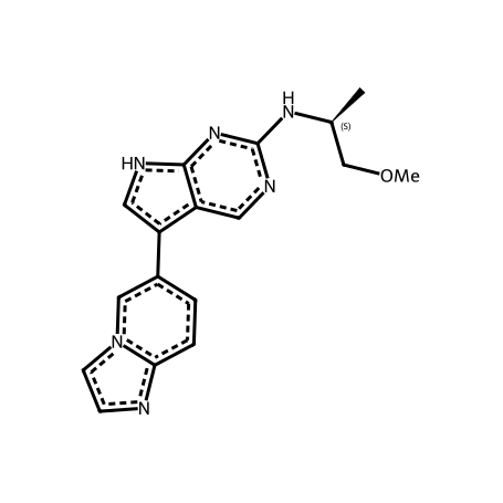 COC[C@H](C)Nc1ncc2c(-c3ccc4nccn4c3)c[nH]c2n1